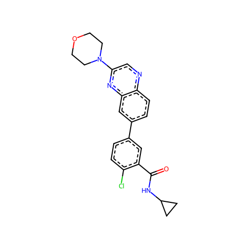 O=C(NC1CC1)c1cc(-c2ccc3ncc(N4CCOCC4)nc3c2)ccc1Cl